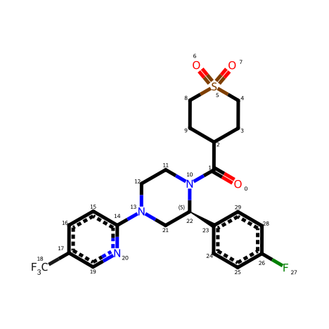 O=C(C1CCS(=O)(=O)CC1)N1CCN(c2ccc(C(F)(F)F)cn2)C[C@@H]1c1ccc(F)cc1